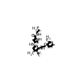 [C-]#[N+]c1c(C)cc(Nc2cc(C(=O)NCCC)[nH]n2)nc1NCCOc1cccnc1C